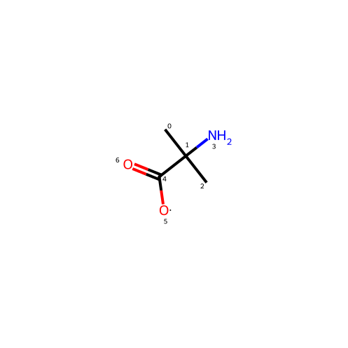 CC(C)(N)C([O])=O